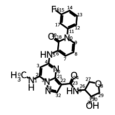 CNc1cc(Nc2cccn(-c3cccc(F)c3)c2=O)nc2c(C(=O)NC3COC[C@@H]3O)cnn12